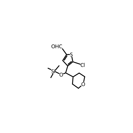 C[Si](C)(C)OC(c1cc(C=O)sc1Cl)C1CCOCC1